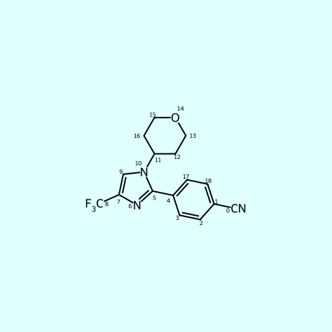 N#Cc1ccc(-c2nc(C(F)(F)F)cn2C2CCOCC2)cc1